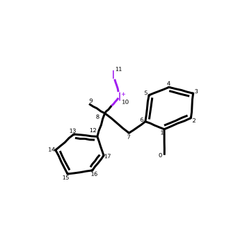 Cc1ccccc1CC(C)([I+]I)c1ccccc1